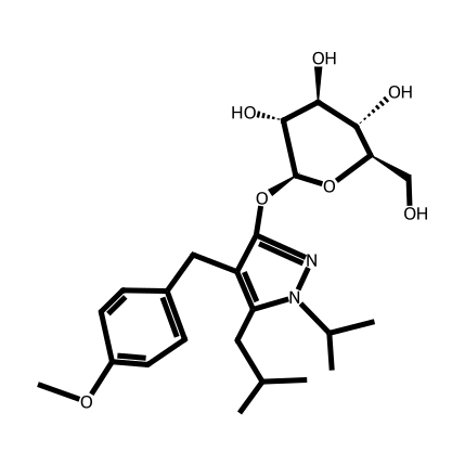 COc1ccc(Cc2c(O[C@@H]3O[C@H](CO)[C@@H](O)[C@H](O)[C@H]3O)nn(C(C)C)c2CC(C)C)cc1